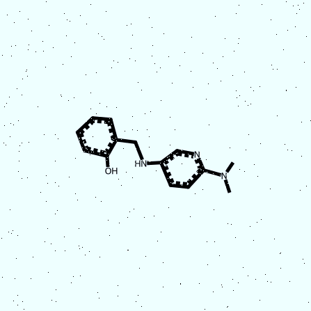 CN(C)c1ccc(NCc2ccccc2O)cn1